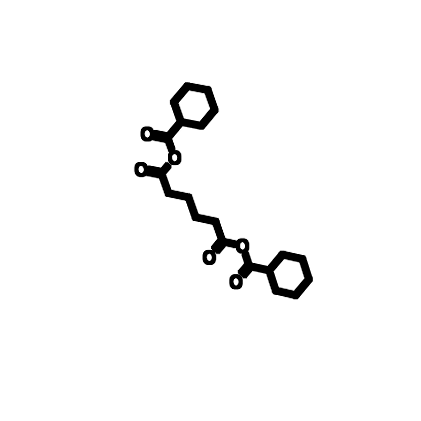 O=C(CCCCC(=O)OC(=O)C1CCCCC1)OC(=O)C1CCCCC1